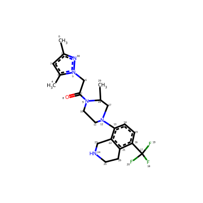 Cc1cc(C)n(CC(=O)N2CCN(c3ccc(C(F)(F)F)c4c3CNCC4)CC2C)n1